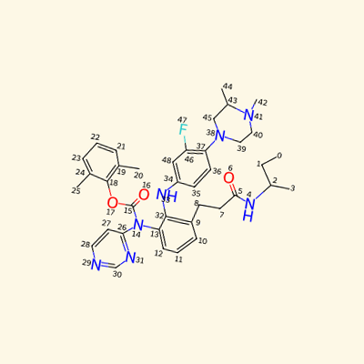 CCC(C)NC(=O)CCc1cccc(N(C(=O)Oc2c(C)cccc2C)c2ccncn2)c1Nc1ccc(N2CCN(C)C(C)C2)c(F)c1